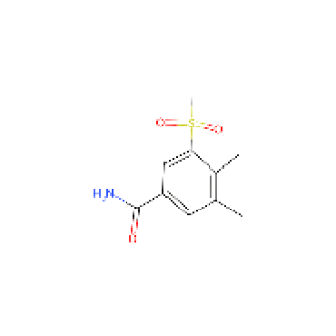 Cc1cc(C(N)=O)cc(S(C)(=O)=O)c1C